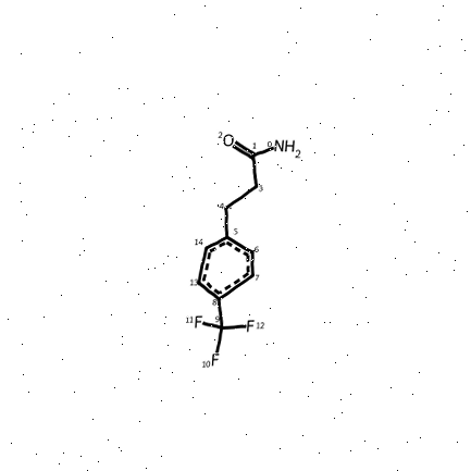 NC(=O)C[CH]c1ccc(C(F)(F)F)cc1